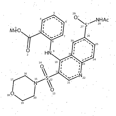 COC(=O)c1ccccc1Nc1c(S(=O)(=O)N2CCOCC2)cnc2ccc([S+]([O-])NC(C)=O)cc12